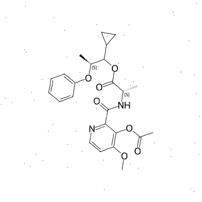 COc1ccnc(C(=O)N[C@@H](C)C(=O)OC(C2CC2)[C@H](C)Oc2ccccc2)c1OC(C)=O